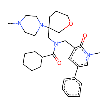 CN1CCN(C2(CN(Cc3cc(-c4ccccc4)cn(C)c3=O)C(=O)C3CCCCC3)CCCOC2)CC1